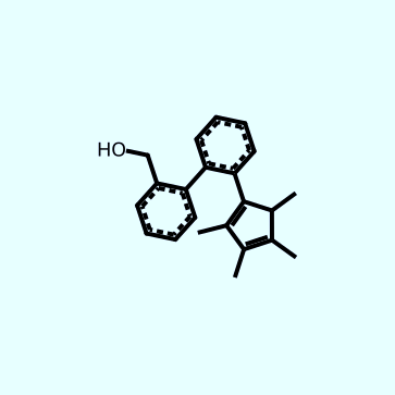 CC1=C(C)C(C)C(c2ccccc2-c2ccccc2CO)=C1C